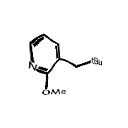 COc1ncccc1CC(C)(C)C